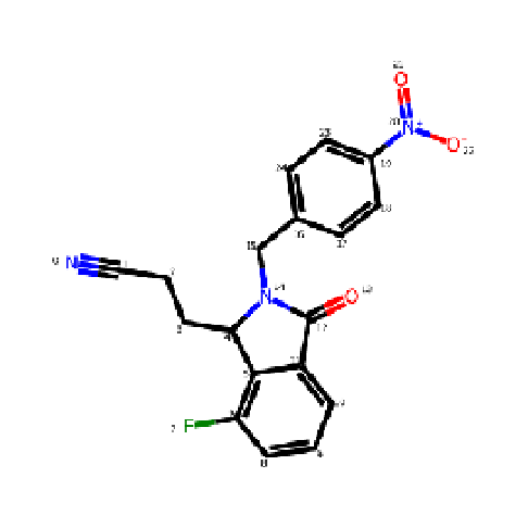 N#CCCC1c2c(F)cccc2C(=O)N1Cc1ccc([N+](=O)[O-])cc1